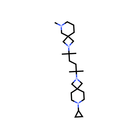 CN1CCCC2(C1)CN(C(C)(C)CCC(C)(C)N1CC3(CCN(C4CC4)CC3)C1)C2